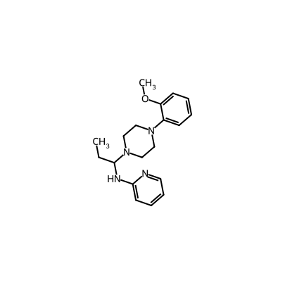 CCC(Nc1ccccn1)N1CCN(c2ccccc2OC)CC1